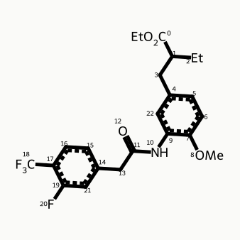 CCOC(=O)C(CC)Cc1ccc(OC)c(NC(=O)Cc2ccc(C(F)(F)F)c(F)c2)c1